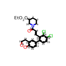 CCOC(=O)C1CCCN(C(=O)/C=C/c2c(-c3ccc4c(c3)CCOO4)c[c]c(Cl)c2Cl)C1